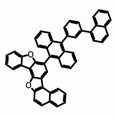 c1cc(-c2cccc3ccccc23)cc(-c2c3ccccc3c(-c3cc4c(oc5ccc6ccccc6c54)c4c3oc3ccccc34)c3ccccc23)c1